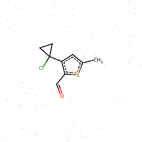 Cc1cc(C2(Cl)CC2)c(C=O)s1